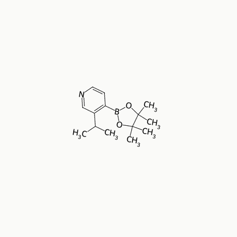 CC(C)c1cnccc1B1OC(C)(C)C(C)(C)O1